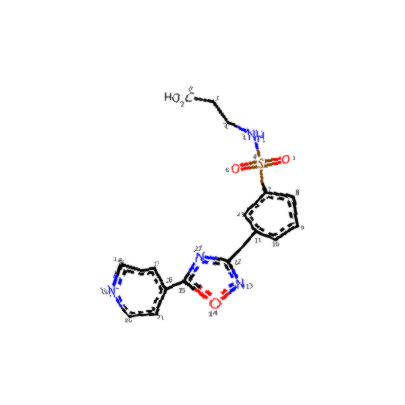 O=C(O)CCNS(=O)(=O)c1cccc(-c2noc(-c3ccncc3)n2)c1